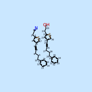 N#CCc1cc(C#CCCCc2ccccc2)cs1.OCCc1cc(C#CCCCc2ccccc2)cs1